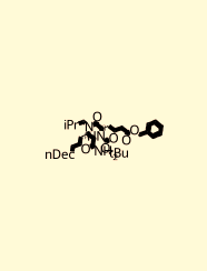 CCCCCCCCCCCCC[C@@H](CC(N)=O)N(CC(C)C)C(=O)[C@H](CCCC(=O)OCc1ccccc1)NC(=O)OC(C)(C)C